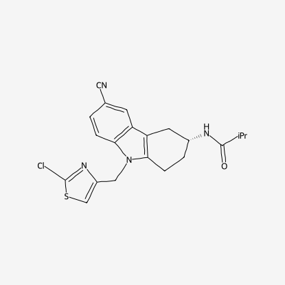 CC(C)C(=O)N[C@@H]1CCc2c(c3cc(C#N)ccc3n2Cc2csc(Cl)n2)C1